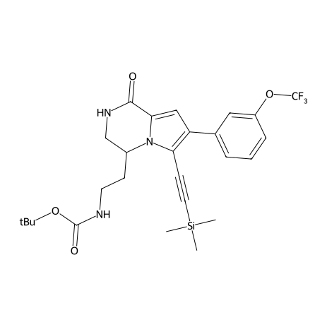 CC(C)(C)OC(=O)NCCC1CNC(=O)c2cc(-c3cccc(OC(F)(F)F)c3)c(C#C[Si](C)(C)C)n21